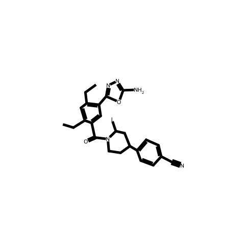 CCc1cc(CC)c(-c2nnc(N)o2)cc1C(=O)N1CCC(c2ccc(C#N)cc2)CC1I